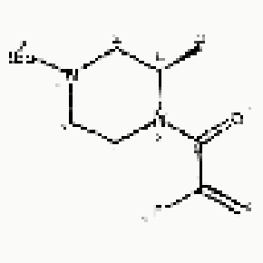 C=C(F)C(=O)N1CCN(C(C)(C)C)C[C@H]1C